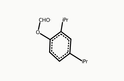 CC(C)c1ccc(O[C]=O)c(C(C)C)c1